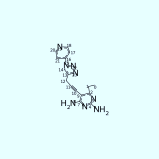 CCc1nc(N)nc(N)c1C#CCc1cn(-c2ccncc2)nn1